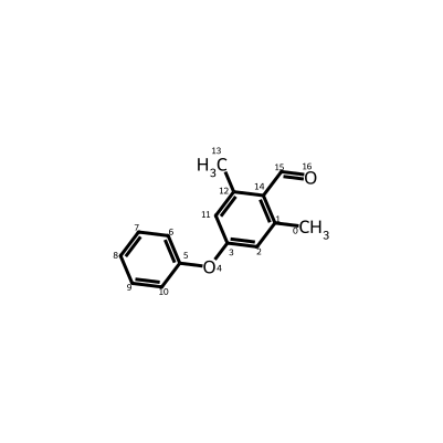 Cc1cc(Oc2ccccc2)cc(C)c1C=O